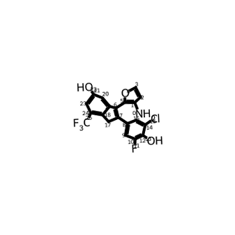 Nc1ccoc1C1=C(c2cc(F)c(O)c(Cl)c2)Cc2c1cc(O)cc2C(F)(F)F